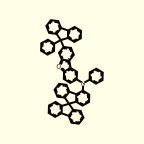 c1ccc(N(c2ccc3oc4cc(C5(c6ccccc6)c6ccccc6-c6ccccc65)ccc4c3c2)c2cccc3c2-c2ccccc2C32c3ccccc3-c3ccccc32)cc1